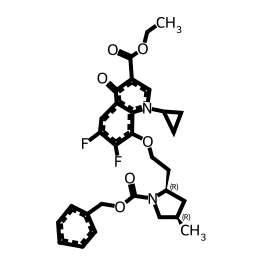 CCOC(=O)c1cn(C2CC2)c2c(OCC[C@H]3C[C@@H](C)CN3C(=O)OCc3ccccc3)c(F)c(F)cc2c1=O